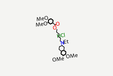 CCN(CCCCCCOC(=O)c1ccc(OC)c(OC)c1)C1CCc2cc(OC)c(OC)cc2C1.Cl